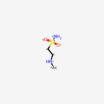 [CH2]C(=O)NCCS(N)(=O)=O